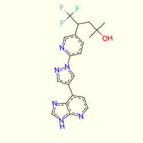 CC(C)(O)CC(c1ccc(-n2cc(-c3ccnc4[nH]cnc34)cn2)nc1)C(F)(F)F